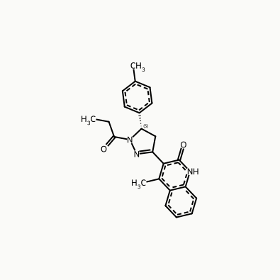 CCC(=O)N1N=C(c2c(C)c3ccccc3[nH]c2=O)C[C@H]1c1ccc(C)cc1